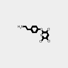 NCCc1ccc(Oc2nc(Cl)c(Cl)cc2Cl)cc1